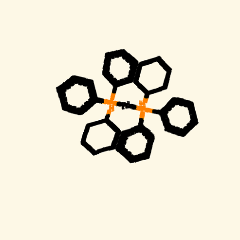 c1ccc([PH]([Pd][PH](c2ccccc2)(c2ccccc2)C2CCCCC2)(c2ccccc2)C2CCCCC2)cc1